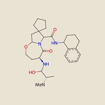 CN[C@@H](C)C(O)N[C@H]1CCOC2CC3(CCCC3)C(C(=O)NC3CCCc4ccccc43)N2C1=O